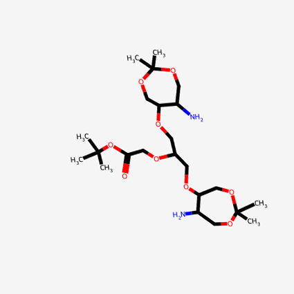 CC(C)(C)OC(=O)COC(COC1COC(C)(C)OCC1N)COC1COC(C)(C)OCC1N